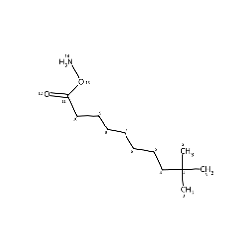 CC(C)(C)CCCCCCCC(=O)ON